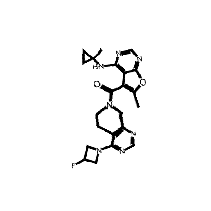 Cc1oc2ncnc(NC3(C)CC3)c2c1C(=O)N1CCc2c(ncnc2N2CC(F)C2)C1